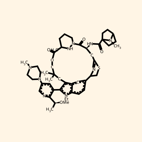 CCn1c(-c2cc(N3CCN(C)CC3)cnc2[C@H](C)OC)c2c3cc(ccc31)C1CSC(=N1)C[C@H](NC(=O)C13CCC(CC1)N3C)C(=O)N1CCC[C@@](C)(N1)C(=O)OCC(C)(C)C2